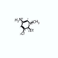 CCC1C(Cl)=CC(N)=CN1C